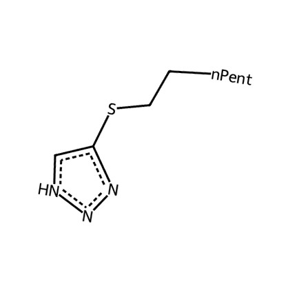 CCCCCCCSc1c[nH]nn1